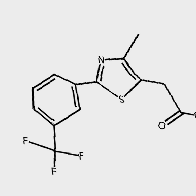 Cc1nc(-c2cccc(C(F)(F)F)c2)sc1CC(=O)O